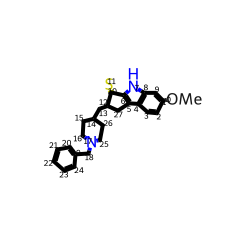 COc1ccc2c3c([nH]c2c1)C(=S)C(CC1CCN(Cc2ccccc2)CC1)C3